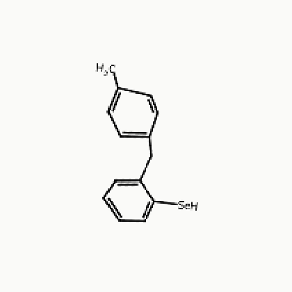 Cc1ccc(Cc2ccccc2[SeH])cc1